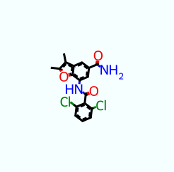 Cc1oc2c(NC(=O)c3c(Cl)cccc3Cl)cc(C(N)=O)cc2c1C